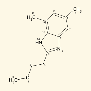 COCCc1nc2cc(C)cc(C)c2[nH]1